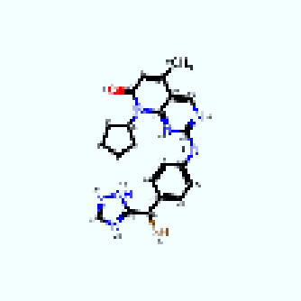 Cc1cc(=O)n(C2CCCC2)c2nc(Nc3ccc(C(S)c4ncn[nH]4)cc3)ncc12